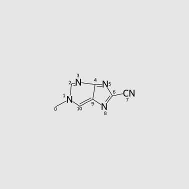 Cn1cnc2nc(C#N)nc-2c1